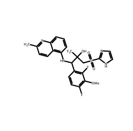 COc1c(F)ccc(C(Nc2cccc3nc(C)ccc23)C(O)(CS(=O)(=O)c2ncc[nH]2)C(F)(F)F)c1F